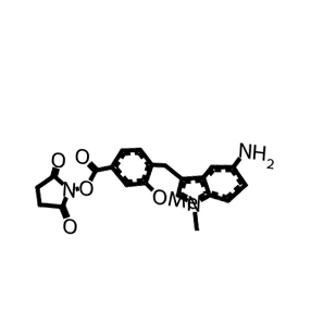 COc1cc(C(=O)ON2C(=O)CCC2=O)ccc1Cc1cn(C)c2ccc(N)cc12